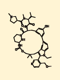 CCn1c(-c2cnccc2COC)c2c3cc(ccc31)-c1cc(O)cc(c1)C[C@H](NC(=O)[C@H](C(C)C)N(C)C(=O)[C@H]1CCN(C)C1)C(=O)N1CCC[C@@](O)(N1)C(=O)OCC(C)(C)C2